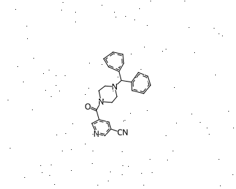 N#Cc1cncc(C(=O)N2CCN(C(c3ccccc3)c3ccccc3)CC2)c1